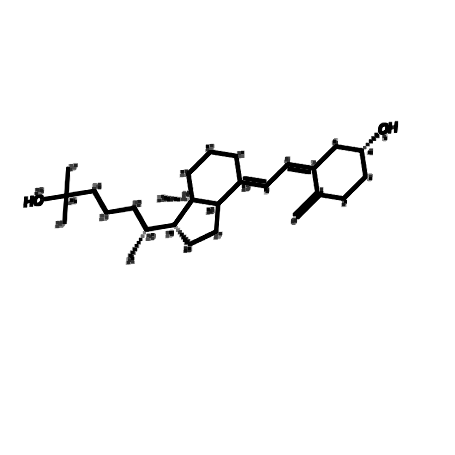 C=C1CC[C@@H](O)C/C1=C/C=C1\CCC[C@@]2(C)C1CC[C@@H]2[C@H](C)CCCC(C)(C)O